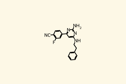 N#Cc1ccc(-c2cc(NCCc3ccccc3)nc(N)n2)cc1F